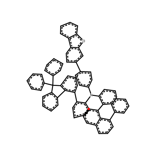 c1ccc(-c2cccc3cccc(-c4ccccc4N(c4ccc(-c5ccc6c(c5)oc5ccccc56)cc4)c4ccccc4-c4cccc5c4-c4ccccc4C5(c4ccccc4)c4ccccc4)c23)cc1